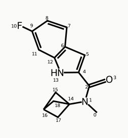 CN(C(=O)c1cc2ccc(F)cc2[nH]1)C12CC(C1)C2